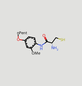 CCCCCOc1ccc(NC(=O)[C@@H](N)CS)c(OC)c1